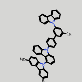 N#Cc1cc(-c2ccc(-n3c4ccccc4c4c(-n5c6ccc(C#N)cc6c6cc(C#N)ccc65)cccc43)cc2)cc(-n2c3ccccc3c3ccccc32)c1